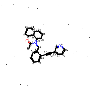 CC(=O)N(Cc1ccccc1C#Cc1cccnc1)c1cccc2ccccc12